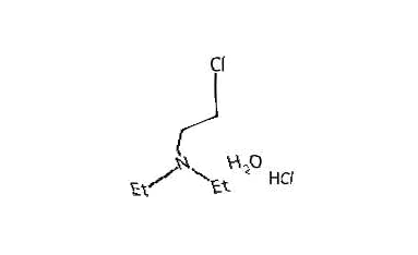 CCN(CC)CCCl.Cl.O